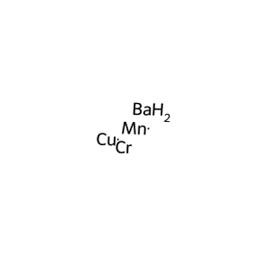 [BaH2].[Cr].[Cu].[Mn]